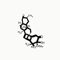 CC[C@@]12CC[C@]3(C)C4=CC5=C6C(=CC(=O)[C@@](O)(OC)[C@]6(C)O)[C@]45CC[C@@]3(C)[C@@H]1C[C@@H](C)C(=O)C2